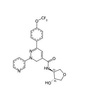 O=C(N[C@H]1COC[C@@H]1O)C1=CC(c2ccc(OC(F)(F)F)cc2)=NN(c2cccnc2)C1